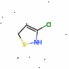 ClC1=[C]CSN1